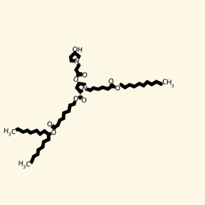 CCCCCCCCCCCOC(=O)CCCCCN1C[C@@H](OC(=O)CCN2CC[C@H](O)C2)C[C@H]1C(=O)OCCCCCCCC(=O)OC(CCCCCCCC)CCCCCCCC